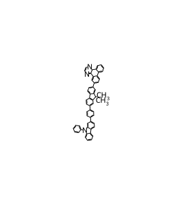 CC1(C)c2cc(-c3ccc(-c4ccc5c6ccccc6n(-c6ccccc6)c5c4)cc3)ccc2-c2ccc(-c3ccc4c5ccccc5c5nccnc5c4c3)cc21